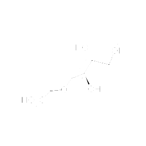 O=C(O)COC[C@H](O)[C@H](O)CO